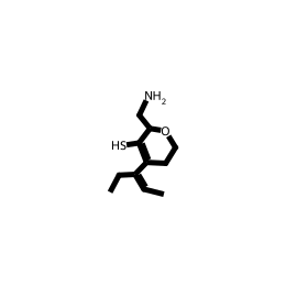 C/C=C(/CC)C1=C(S)C(CN)OCC1